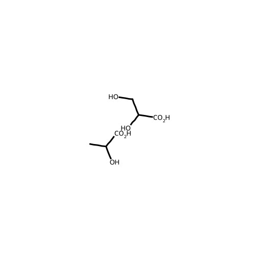 CC(O)C(=O)O.O=C(O)C(O)CO